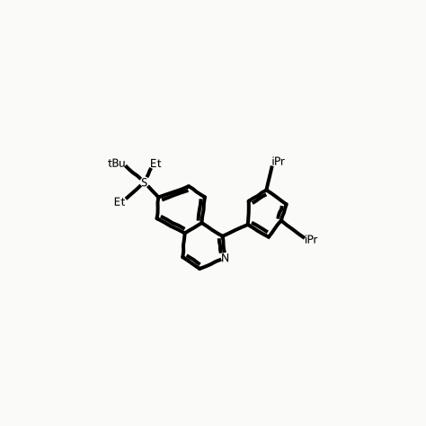 CCS(CC)(c1ccc2c(-c3cc(C(C)C)cc(C(C)C)c3)nccc2c1)C(C)(C)C